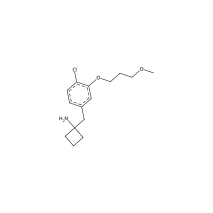 COCCCOc1cc(CC2(N)CCC2)ccc1Cl